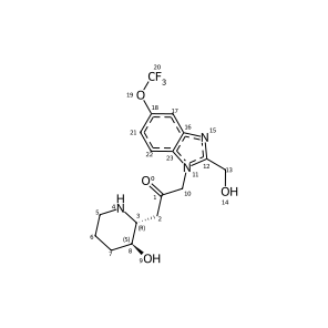 O=C(C[C@H]1NCCC[C@@H]1O)Cn1c(CO)nc2cc(OC(F)(F)F)ccc21